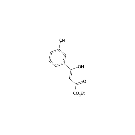 CCOC(=O)C(=O)C=C(O)c1cccc(C#N)c1